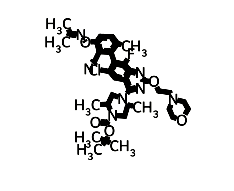 CC(C)=NOc1ccc(C)c(-c2c(Cl)cc3c(N4CC(C)N(C(=O)OC(C)(C)C)CC4C)nc(OCCN4CCOCC4)nc3c2F)c1C#N